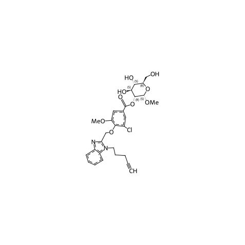 C#CCCCn1c(COc2c(Cl)cc(C(=O)O[C@H]3[C@@H](OC)O[C@H](CO)[C@@H](O)[C@@H]3O)cc2OC)nc2ccccc21